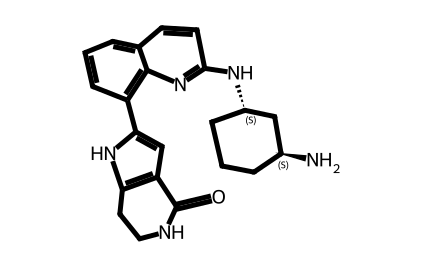 N[C@H]1CCC[C@H](Nc2ccc3cccc(-c4cc5c([nH]4)CCNC5=O)c3n2)C1